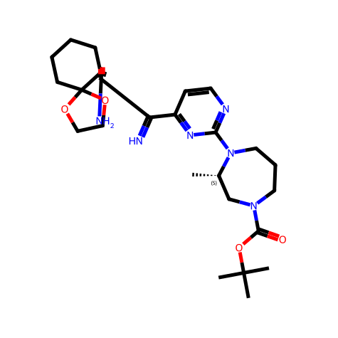 C[C@H]1CN(C(=O)OC(C)(C)C)CCCN1c1nccc(C(=N)C2=C(N)C3(CCCCC34OCCO4)CC2)n1